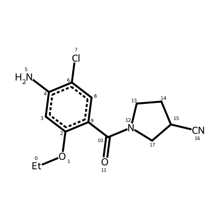 CCOc1cc(N)c(Cl)cc1C(=O)N1CCC(C#N)C1